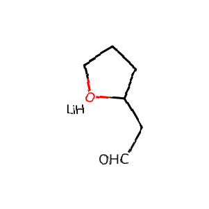 O=CCC1CCCO1.[LiH]